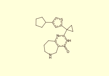 O=c1[nH]c(C2(c3cc(C4CCCC4)cs3)CC2)nc2c1CNCCC2